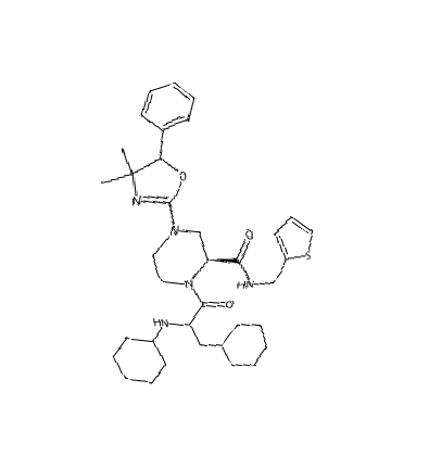 CC1(C)N=C(N2CCN(C(=O)C(CC3CCCCC3)NC3CCCCC3)[C@H](C(=O)NCc3cccs3)C2)OC1c1ccccc1